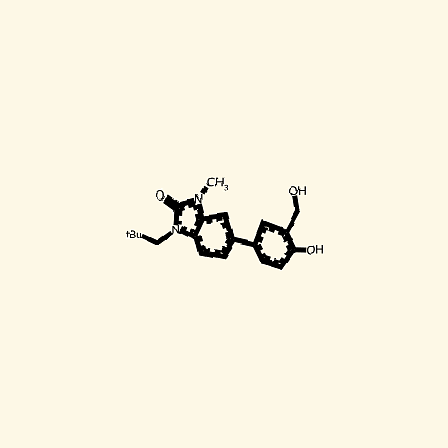 Cn1c(=O)n(CC(C)(C)C)c2ccc(-c3ccc(O)c(CO)c3)cc21